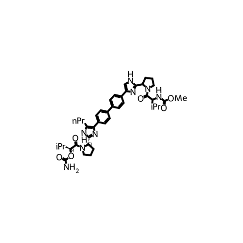 CCCc1[nH]c([C@@H]2CCCN2C(=O)[C@@H](OC(N)=O)C(C)C)nc1-c1ccc(-c2ccc(-c3c[nH]c(C4CCCN4C(=O)C(NC(=O)OC)C(C)C)n3)cc2)cc1